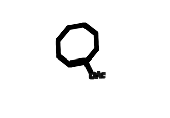 CC(=O)OC1=CCCCCCC1